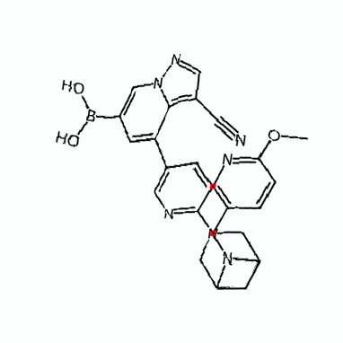 COc1ccc(CN2C3CC2CN(c2ccc(-c4cc(B(O)O)cn5ncc(C#N)c45)cn2)C3)cn1